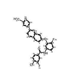 Cc1cn(-c2cnc3ccc(Oc4cc(NC(=O)c5ccc(Cl)c(F)c5)ccc4F)cc3n2)cn1